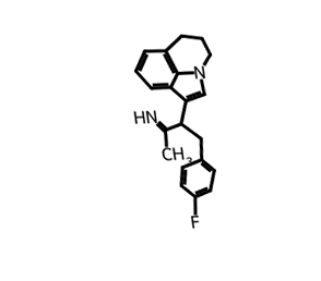 CC(=N)C(Cc1ccc(F)cc1)c1cn2c3c(cccc13)CCC2